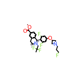 COC(=O)c1ccc2c(c1)C[C@@H](C)N(CC(C)(F)F)[C@@H]2c1c(F)cc(OC2CN(CCCF)C2)cc1F